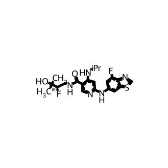 CC(C)Nc1cc(Nc2cc(F)c3ncsc3c2)ncc1C(=O)NC[C@@H](F)C(C)(C)O